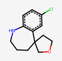 Clc1ccc2c(c1)C1(CCCN2)CCOC1